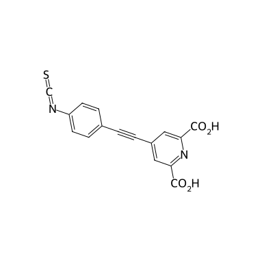 O=C(O)c1cc(C#Cc2ccc(N=C=S)cc2)cc(C(=O)O)n1